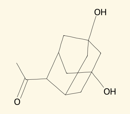 CC(=O)C1C2CC3(O)CC1CC(O)(C2)C3